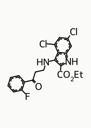 CCOC(=O)c1[nH]c2cc(Cl)cc(Cl)c2c1NCCC(=O)c1ccccc1F